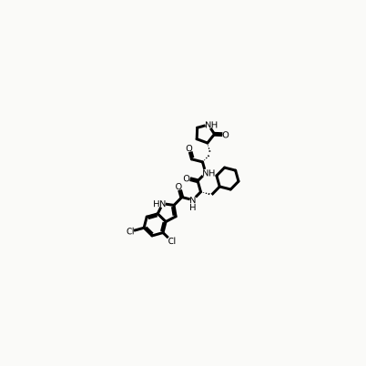 O=C[C@H](C[C@@H]1CCNC1=O)NC(=O)[C@H](CC1CCCCC1)NC(=O)c1cc2c(Cl)cc(Cl)cc2[nH]1